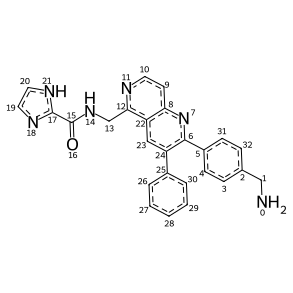 NCc1ccc(-c2nc3ccnc(CNC(=O)c4ncc[nH]4)c3cc2-c2ccccc2)cc1